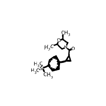 CC1CN(C(=O)C2CC2c2ccc([Si](C)(C)C)cc2)CC(C)O1